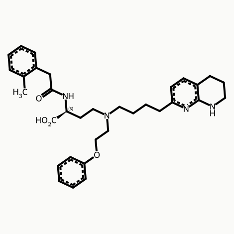 Cc1ccccc1CC(=O)N[C@@H](CCN(CCCCc1ccc2c(n1)NCCC2)CCOc1ccccc1)C(=O)O